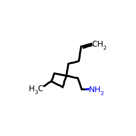 C=CCCC1(CCN)CC(C)C1